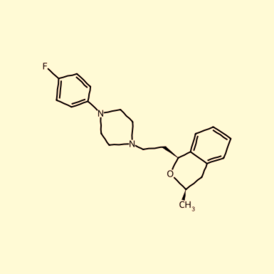 C[C@@H]1Cc2ccccc2[C@H](CCN2CCN(c3ccc(F)cc3)CC2)O1